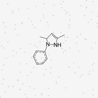 CC1=CC(C)N(c2ccccc2)N1